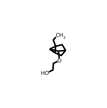 CCC12CC3CC1C2C3OCCO